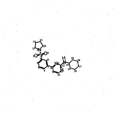 O=S(=O)(c1cccc(-c2ccnc(NC3CCCCC3)n2)c1)N1CCCC1